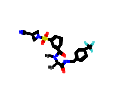 C[C@H](C(=O)NCc1ccc(C(F)(F)F)cc1)N(C)C(=O)c1cccc(S(=O)(=O)N2CC(C#N)C2)c1